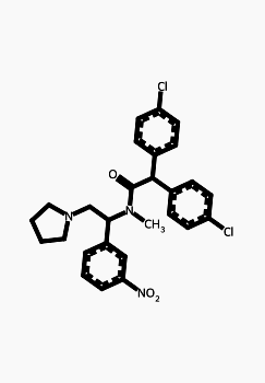 CN(C(=O)C(c1ccc(Cl)cc1)c1ccc(Cl)cc1)C(CN1CCCC1)c1cccc([N+](=O)[O-])c1